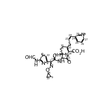 O=CNc1nc(C(=NOC2CC2)C(=O)N[C@@H]2C(=O)N3C(C(=O)O)=C(S/C=C\c4cccnc4)CS[C@@H]23)cs1